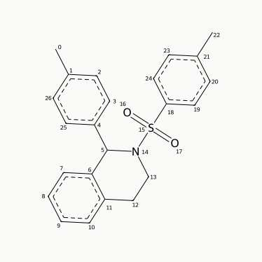 Cc1ccc(C2c3ccccc3CCN2S(=O)(=O)c2ccc(C)cc2)cc1